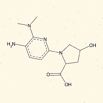 CN(C)c1nc(N2CC(O)CC2C(=O)O)ccc1N